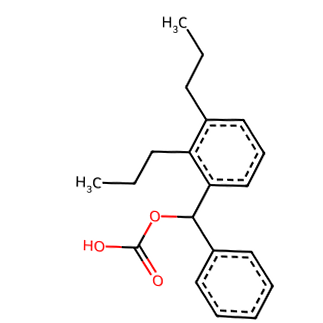 CCCc1cccc(C(OC(=O)O)c2ccccc2)c1CCC